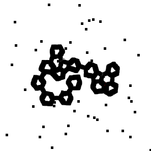 c1ccc(-c2cccc(-c3cccc(-c4cccc(-c5ccc(-c6ccccc6-n6c7ccccc7c7cc(-c8ccc9c(c8)c8ccccc8n9-c8ccccc8-c8ccccc8)ccc76)cc5)c4)c3)c2)cc1